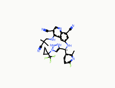 Cc1nc(F)ccc1[C@H](Nc1cc(C#N)c2ncc(C#N)c(NCC(C)(C)C#N)c2c1)C1=CN(C2(C(F)(F)F)CC2)NN1